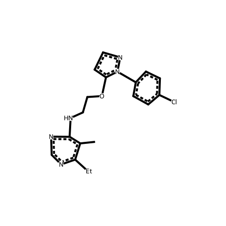 CCc1ncnc(NCCOc2ccnn2-c2ccc(Cl)cc2)c1C